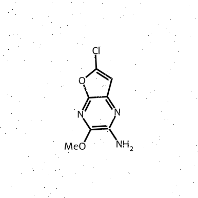 COc1nc2oc(Cl)cc2nc1N